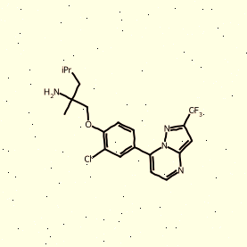 CC(C)CC(C)(N)COc1ccc(-c2ccnc3cc(C(F)(F)F)nn23)cc1Cl